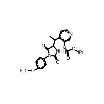 CC(C)OC(=O)Nc1cnccc1C(C)C1NC(=O)N(c2ccc(OC(F)(F)F)cc2)C1=O